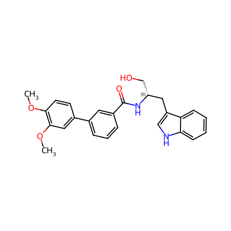 COc1ccc(-c2cccc(C(=O)N[C@H](CO)Cc3c[nH]c4ccccc34)c2)cc1OC